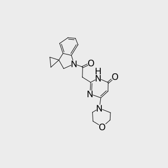 O=C(Cc1nc(N2CCOCC2)cc(=O)[nH]1)N1CC2(CC2)c2ccccc21